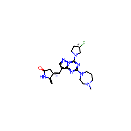 C=C1NC(=O)C/C1=C\c1cnn2c(N3CC[C@@H](F)C3)nc(N3CCCN(C)CC3)nc12